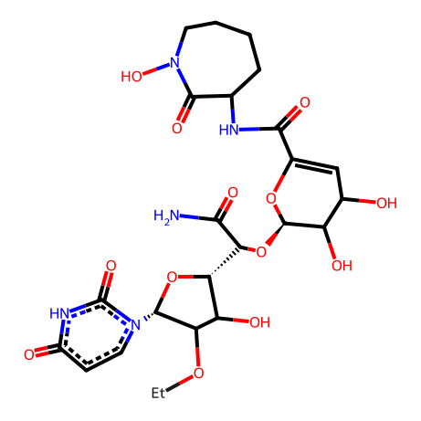 CCOC1C(O)[C@@H](C(O[C@H]2OC(C(=O)NC3CCCCN(O)C3=O)=CC(O)C2O)C(N)=O)O[C@H]1n1ccc(=O)[nH]c1=O